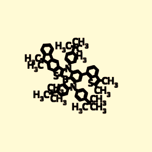 Cc1sc2c(-c3cc4c5c(c3)N(c3ccc(C(C)(C)C)cc3)c3c(sc6cc7c(cc36)-c3ccccc3C7(C)C)B5c3cc(C(C)(C)C)ccc3N4c3ccc(C(C)(C)C)cc3)cccc2c1C